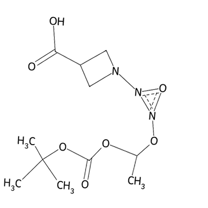 CC(OC(=O)OC(C)(C)C)On1on1N1CC(C(=O)O)C1